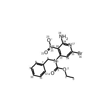 CCOC(=O)N(Cc1ccccc1)c1cc(Br)nc(N)c1[N+](=O)[O-]